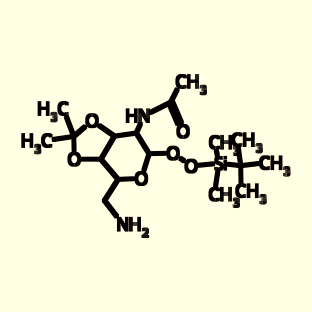 CC(=O)NC1C(OO[Si](C)(C)C(C)(C)C)OC(CN)C2OC(C)(C)OC12